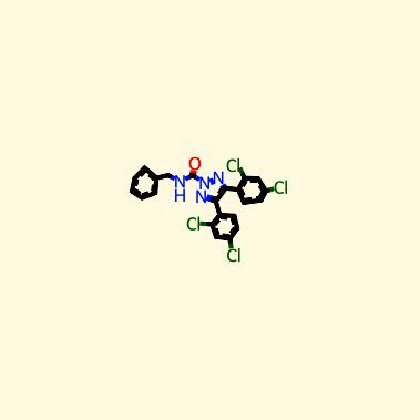 O=C(NCc1ccccc1)n1nc(-c2ccc(Cl)cc2Cl)c(-c2ccc(Cl)cc2Cl)n1